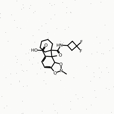 CN1OC2=CC=C(C(=O)O)C(C)(C3(C(=O)NC4CC(F)(F)C4)CCCCC3)C2O1